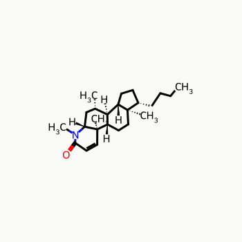 CCCC[C@H]1CC[C@H]2[C@@H]3[C@@H](C)C[C@H]4N(C)C(=O)C=C[C@]4(C)[C@H]3CC[C@]12C